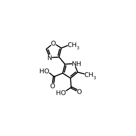 Cc1[nH]c(-c2ncoc2C)c(C(=O)O)c1C(=O)O